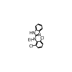 CCN(c1nc2ccccc2[nH]1)c1c(Cl)cccc1Cl